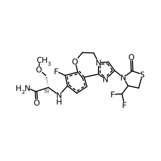 COC[C@H](Nc1ccc2c(c1F)OCCn1cc(N3C(=O)SCC3C(F)F)nc1-2)C(N)=O